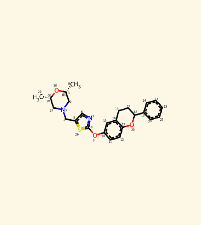 C[C@@H]1CN(Cc2cnc(Oc3ccc4c(c3)CCC(c3ccccc3)O4)s2)C[C@H](C)O1